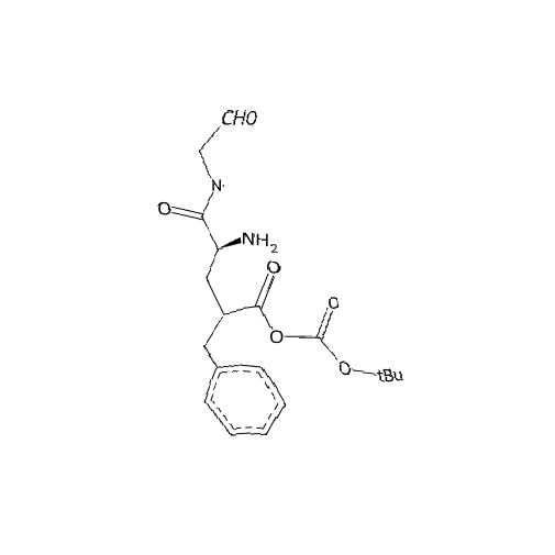 CC(C)(C)OC(=O)OC(=O)C(Cc1ccccc1)C[C@H](N)C(=O)[N]CC=O